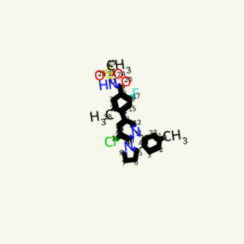 Cc1ccc([C@@H]2CCCN2c2ncc(-c3cc(F)c(C(=O)NS(C)(=O)=O)cc3C)cc2Cl)cc1